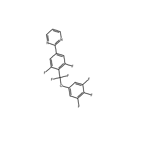 Fc1cc(OC(F)(F)c2c(F)cc(-c3ncccn3)cc2F)cc(F)c1F